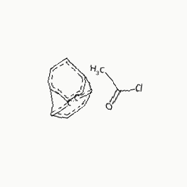 CC(=O)Cl.c1cc2ccc1-c1ccc-2cc1